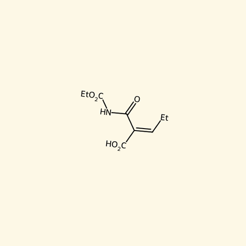 CC/C=C(/C(=O)O)C(=O)NC(=O)OCC